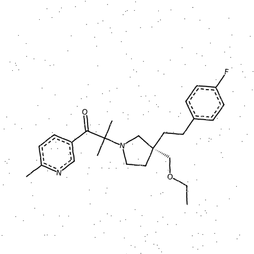 CCOC[C@]1(CCc2ccc(F)cc2)CCN(C(C)(C)C(=O)c2ccc(C)nc2)C1